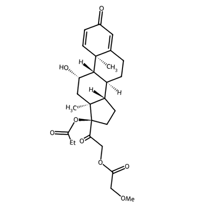 CCC(=O)O[C@]1(C(=O)COC(=O)COC)CC[C@H]2[C@@H]3CCC4=CC(=O)C=C[C@]4(C)[C@H]3[C@@H](O)C[C@@]21C